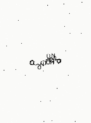 O=C(CCc1ccccc1)N1CCC(O)(Cn2cnc3c(ncn3-c3ccccc3)c2=O)CC1